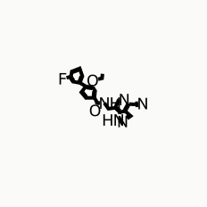 CCOc1cc(C(=O)NCc2cnc(C#N)c3cn[nH]c23)ccc1-c1cccc(F)c1